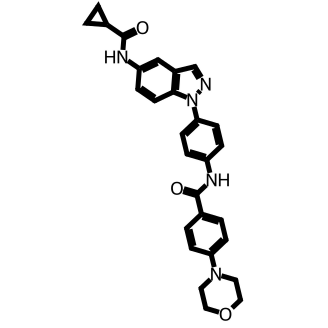 O=C(Nc1ccc(-n2ncc3cc(NC(=O)C4CC4)ccc32)cc1)c1ccc(N2CCOCC2)cc1